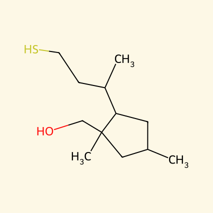 CC1CC(C(C)CCS)C(C)(CO)C1